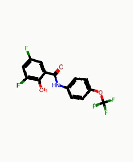 O=C(Nc1ccc(OC(F)(F)F)cc1)c1cc(F)cc(F)c1O